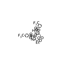 CCC(C(=O)OC(=O)Cc1cnc(NS(=O)(=O)c2cccc(C(F)(F)F)c2)s1)c1cnc(NS(=O)(=O)c2ccc(C(F)(F)F)cc2)s1